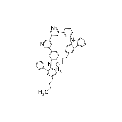 CCCCc1ccc2c(c1)c1ccccc1n2-c1cccc(-c2cncc(-c3cncc(-c4cccc(-n5c6ccccc6c6cc(CCCC)ccc65)c4)c3)c2)c1